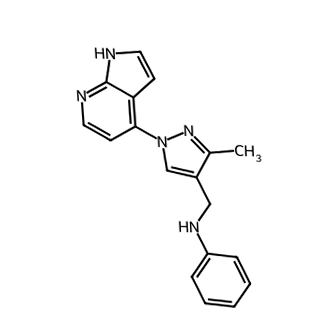 Cc1nn(-c2ccnc3[nH]ccc23)cc1CNc1ccccc1